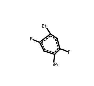 CCc1cc(F)c(C(C)C)cc1F